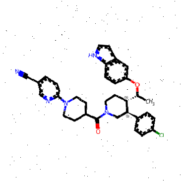 CC(Oc1ccc2[nH]ccc2c1)[C@H]1CCN(C(=O)C2CCN(c3ccc(C#N)cn3)CC2)C[C@@H]1c1ccc(Cl)cc1